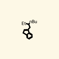 CCCCC(CC)CC1=CCc2ccccc21